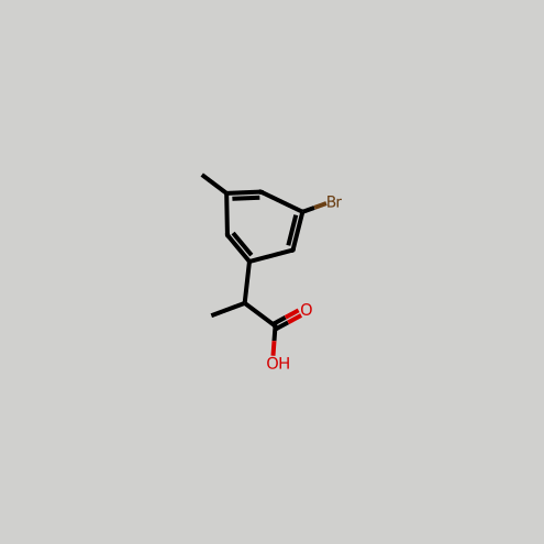 Cc1cc(Br)cc(C(C)C(=O)O)c1